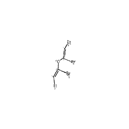 CCC=C(Br)OC(Br)=CCC